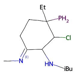 CCC(C)NC1/C(=N/C)CCC(P)(CC)C1Cl